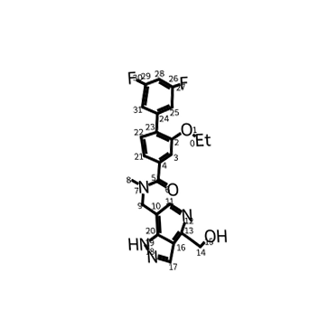 CCOc1cc(C(=O)N(C)Cc2cnc(CO)c3cn[nH]c23)ccc1-c1cc(F)cc(F)c1